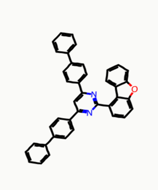 c1ccc(-c2ccc(-c3cc(-c4ccc(-c5ccccc5)cc4)nc(-c4cccc5oc6ccccc6c45)n3)cc2)cc1